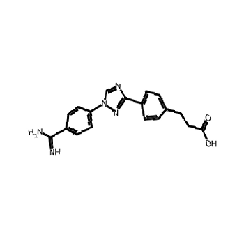 N=C(N)c1ccc(-n2cnc(-c3ccc(CCC(=O)O)cc3)n2)cc1